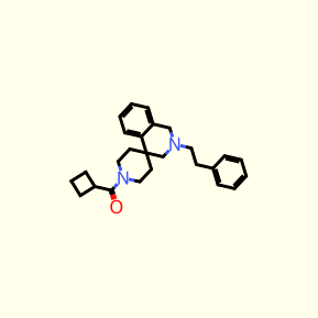 O=C(C1CCC1)N1CCC2(CC1)CN(CCc1ccccc1)Cc1ccccc12